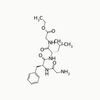 CCOC(=O)CNC(=O)[C@H](CC(C)C)NC(=O)[C@H](Cc1ccccc1)NC(=O)CN